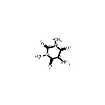 CN1C(=O)C(N)C(=O)N(C)C1=O